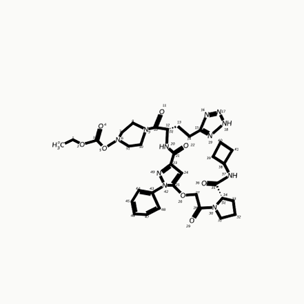 CCOC(=O)ON1CCN(C(=O)[C@H](CCc2nn[nH]n2)NC(=O)c2cc(OCC(=O)N3CCC[C@H]3C(=O)NC3CCC3)n(-c3ccccc3)n2)CC1